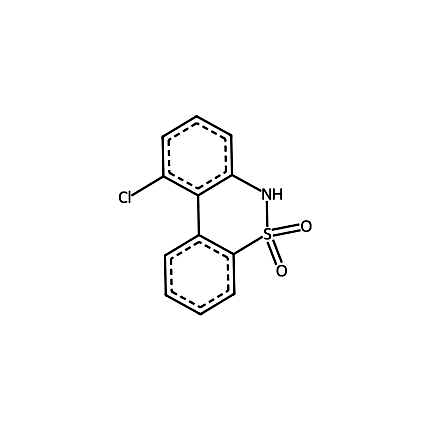 O=S1(=O)Nc2cccc(Cl)c2-c2ccccc21